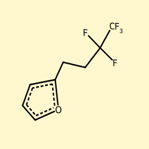 FC(F)(F)C(F)(F)CCc1ccco1